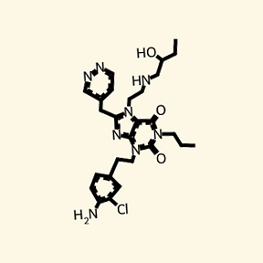 CCCn1c(=O)c2c(nc(Cc3ccnnc3)n2CCNCC(O)CC)n(CCc2ccc(N)c(Cl)c2)c1=O